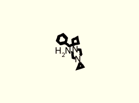 NC(c1ccccc1)C1(N2CCN(C3CC3)CC2)CCC1